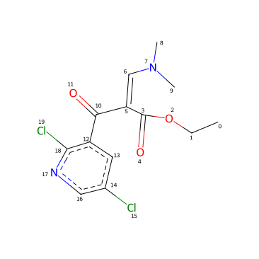 CCOC(=O)/C(=C\N(C)C)C(=O)c1cc(Cl)cnc1Cl